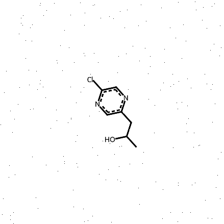 CC(O)Cc1cnc(Cl)cn1